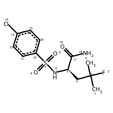 CC(C)(F)C[C@@H](NS(=O)(=O)c1ccc(Cl)cc1)C(N)=O